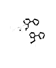 C[Si](C)=[Zr+2].Cc1cc2c(-c3ccccc3)cccc2[cH-]1.Cc1cc2c(-c3ccccc3)cccc2[cH-]1.[Cl-].[Cl-]